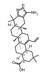 C=CC1=C2[C@H]3CC(C)(C)C[C@@H](C(=O)O)[C@H]3CC[C@@]2(C)[C@]2(C)CC[C@H]3C(C)(C)c4n[nH]c(N)c4C[C@]3(C)C2C1